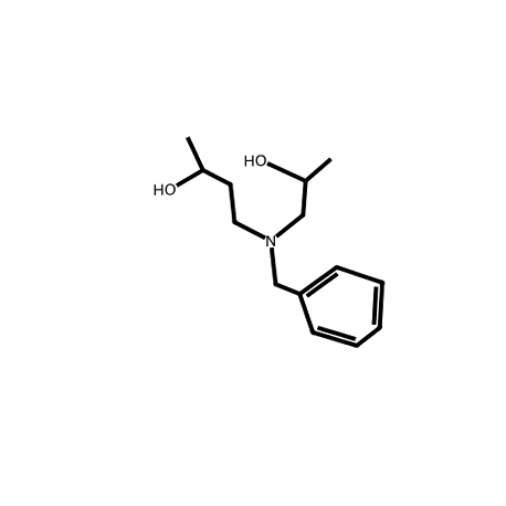 CC(O)CCN(Cc1ccccc1)CC(C)O